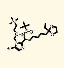 CCC1(CCCCC[C@H](N[S@+]([O-])C(C)(C)C)c2ncc(Br)n2COCC[Si](C)(C)C)OCCO1